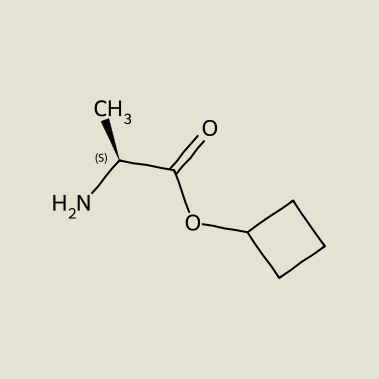 C[C@H](N)C(=O)OC1CCC1